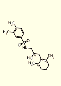 Cc1ccc(S(=O)(=O)NC[C@H](O)CN2[C@H](C)CCC[C@@H]2C)cc1C